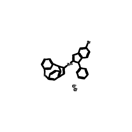 Brc1ccc2c(c1)C=[C]([Zr+2][C]1=Cc3cc4ccc3C1c1cccc(c1)S4)C2c1ccccc1.[Cl-].[Cl-]